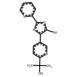 CC(C)(O)c1ccc(-c2nc(-c3ccccn3)oc2S)cn1